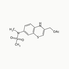 CC(=O)OCC1=CSc2cc(N(C)S(C)(=O)=O)ccc2N1